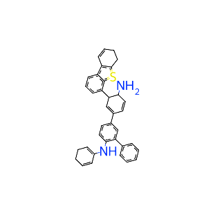 NC1C=CC(c2ccc(NC3=CCCC=C3)c(-c3ccccc3)c2)=CC1c1cccc2c3c(sc12)CCC=C3